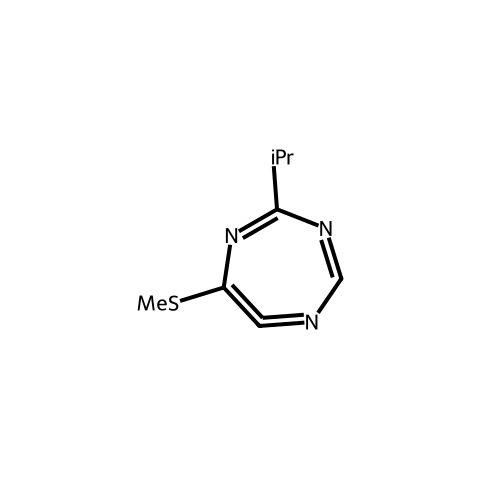 CSC1=C=NC=NC(C(C)C)=N1